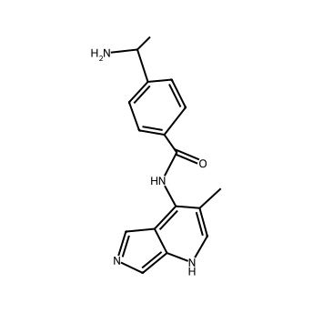 Cc1c[nH]c2cncc-2c1NC(=O)c1ccc(C(C)N)cc1